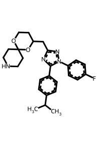 CC(C)c1ccc(-c2nc(CC3CCOC4(CCNCC4)O3)nn2-c2ccc(F)cc2)cc1